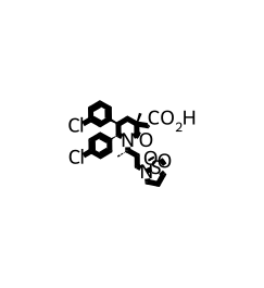 C[C@@H](CCN1CCCS1(=O)=O)N1C(=O)[C@@](C)(CC(=O)O)C[C@H](c2cccc(Cl)c2)[C@H]1c1ccc(Cl)cc1